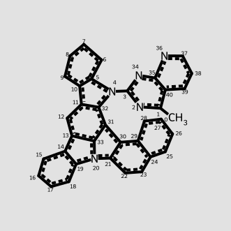 Cc1nc(-n2c3ccccc3c3cc4c5ccccc5n5c6ccc7ccccc7c6c(c32)c45)nc2ncccc12